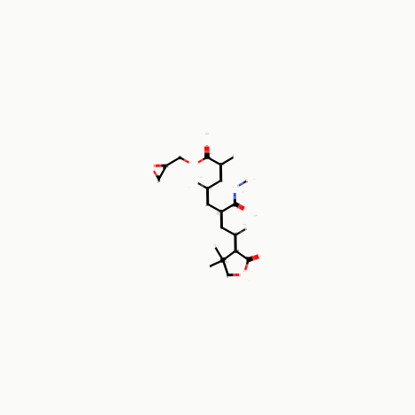 CCC(CC(CC(CC(C)C(=O)OCC1CO1)C(=O)O)C(=O)NC(C)C)C1C(=O)OCC1(C)C